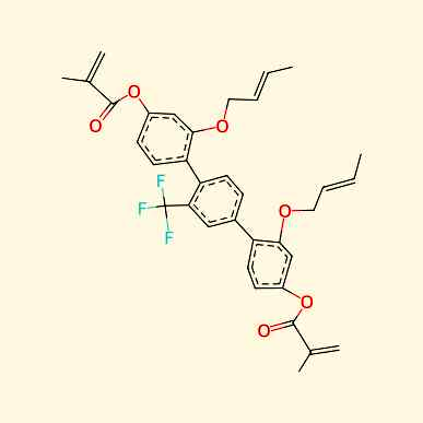 C=C(C)C(=O)Oc1ccc(-c2ccc(-c3ccc(OC(=O)C(=C)C)cc3OC/C=C/C)c(C(F)(F)F)c2)c(OC/C=C/C)c1